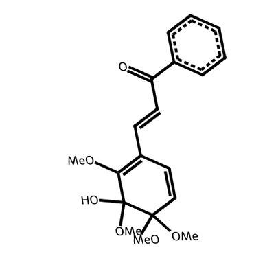 COC1=C(C=CC(=O)c2ccccc2)C=CC(OC)(OC)C1(O)OC